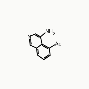 CC(=O)c1cccc2cncc(N)c12